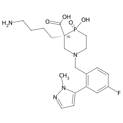 Cn1nccc1-c1cc(F)ccc1CN1CCP(=O)(O)[C@](CCCCN)(C(=O)O)C1